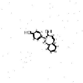 Oc1ccc(N2Sc3ccccc3C=CC2O)cc1